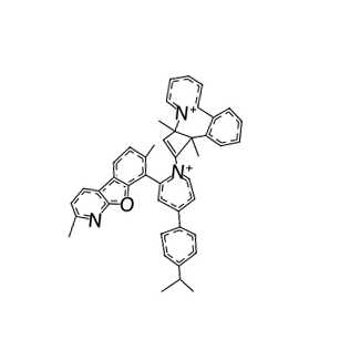 Cc1ccc2c(n1)oc1c(-c3cc(-c4ccc(C(C)C)cc4)cc[n+]3C3=CC4(C)[n+]5ccccc5-c5ccccc5C34C)c(C)ccc12